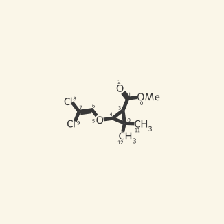 COC(=O)C1C(OC=C(Cl)Cl)C1(C)C